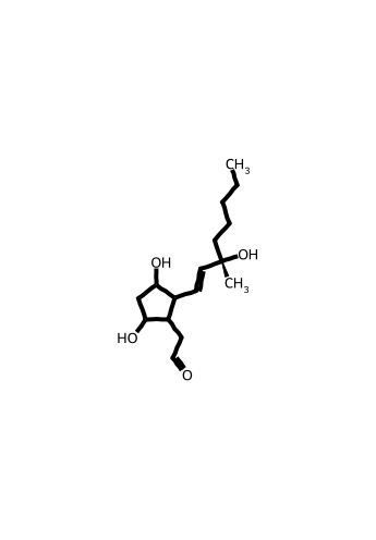 CCCCC[C@](C)(O)C=CC1C(O)CC(O)C1CC=O